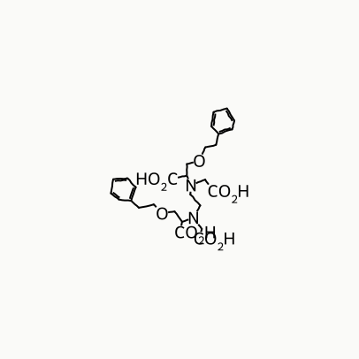 O=C(O)CN(CCN(CC(=O)O)C(COCCc1ccccc1)C(=O)O)C(COCCc1ccccc1)C(=O)O